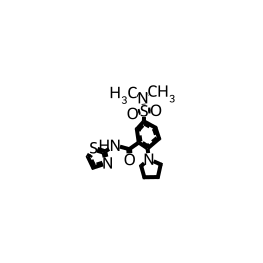 CN(C)S(=O)(=O)c1ccc(N2CCCC2)c(C(=O)Nc2nccs2)c1